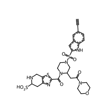 C#Cc1ccc2[nH]c(S(=O)(=O)N3CCN(C(=O)c4nc5c(s4)CNC(S(=O)(=O)O)C5)C(CC(=O)N4CCOCC4)C3)cc2c1